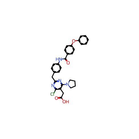 O=C(O)Cc1c(Cl)nc(Cc2ccc(NC(=O)c3ccc(Oc4ccccc4)cc3)cc2)nc1N1CCCC1